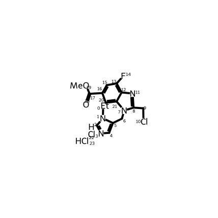 CCn1cncc1Cn1c(CCl)nc2c(F)cc(C(=O)OC)cc21.Cl.Cl